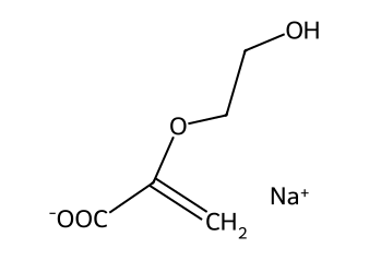 C=C(OCCO)C(=O)[O-].[Na+]